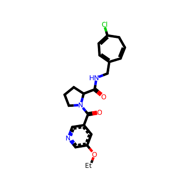 CCOc1cncc(C(=O)N2CCCC2C(=O)NCC2=CC=C(Cl)CC=C2)c1